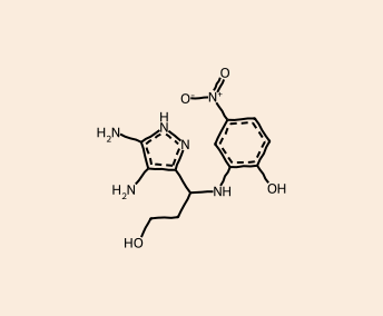 Nc1[nH]nc(C(CCO)Nc2cc([N+](=O)[O-])ccc2O)c1N